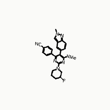 CNc1nc(N2CCC[C@H](F)C2)nc(-c2ccc(C#N)cc2)c1-c1ccc2nn(C)cc2c1